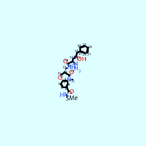 CSNC(=O)c1ccc2c(c1)N(C)C(=O)[C@@H](CNC(=O)C(N)/C=C(\O)Cc1ccccc1)CO2